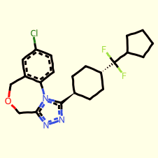 FC(F)(C1CCCC1)[C@H]1CC[C@H](c2nnc3n2-c2ccc(Cl)cc2COC3)CC1